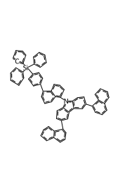 c1ccc([Si](c2ccccc2)(c2ccccc2)c2ccc(-c3cccc4c(-n5c6ccc(-c7cccc8ccccc78)cc6c6cc(-c7cccc8ccccc78)ccc65)cccc34)cc2)cc1